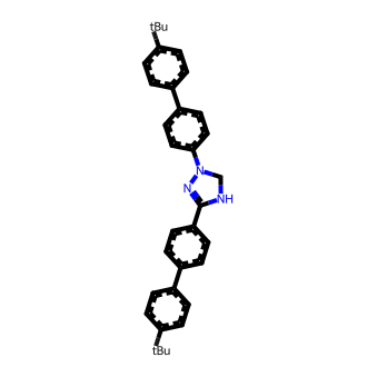 CC(C)(C)c1ccc(-c2ccc(C3=NN(c4ccc(-c5ccc(C(C)(C)C)cc5)cc4)CN3)cc2)cc1